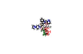 COc1c(C(=O)N2CCC(N3CCCC3)CC2)sc2c1c(=O)n(Cc1ccccn1)c1ccccc21.O=C(O)C(F)(F)F.O=C(O)C(F)(F)F